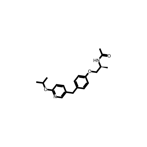 CC(=O)N[C@@H](C)COc1ccc(Cc2ccc(OC(C)C)nc2)cc1